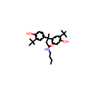 CCCCNC(=O)CC(C)(c1ccc(O)c(C(C)(C)C)c1)c1ccc(O)c(C(C)(C)C)c1